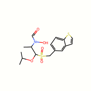 CC(C)OC(C(C)N(O)C=O)S(=O)(=O)Cc1ccc2sccc2c1